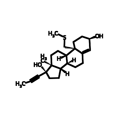 CC#C[C@]1(O)CC[C@H]2[C@@H]3CCC4=C[C@H](O)CC[C@]4(CSC)[C@H]3CC[C@@]21C